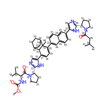 COC(=O)N[C@H](C(=O)N1CCC[C@H]1c1ncc(C2=CC=C(c3ccc4cc(-c5cnc([C@@H]6CCCN6C(=O)CC(C)C)[nH]5)ccc4c3)C3(C)C4CCC(CC4)C23)[nH]1)C(C)C